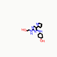 OCCNc1ncc(-c2ccccn2)c(N[C@H]2CC[C@H](O)CC2)n1